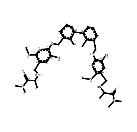 COc1nc(OCc2cccc(-c3cccc(COc4nc(OC)c(CNC(C)C(=O)N(C)C)cc4Cl)c3C)c2C)c(Cl)cc1CNC(C)C(=O)N(C)C